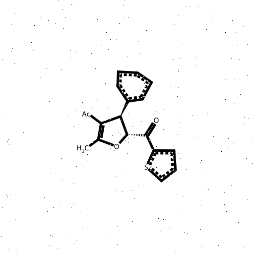 CC(=O)C1=C(C)O[C@@H](C(=O)c2cccs2)[C@@H]1c1ccccc1